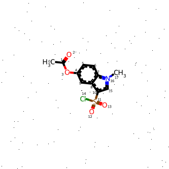 CC(=O)Oc1ccc2c(c1)c(S(=O)(=O)Cl)cn2C